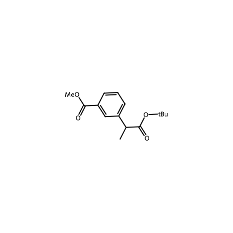 COC(=O)c1cccc(C(C)C(=O)OC(C)(C)C)c1